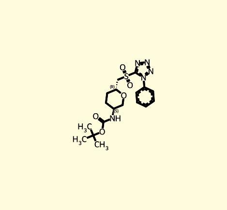 CC(C)(C)OC(=O)N[C@H]1CC[C@H](CS(=O)(=O)c2nnnn2-c2ccccc2)OC1